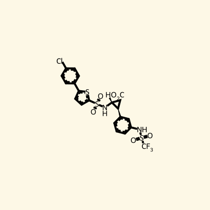 O=C(O)[C@@]1(NS(=O)(=O)c2ccc(-c3ccc(Cl)cc3)s2)C[C@H]1c1cccc(NS(=O)(=O)C(F)(F)F)c1